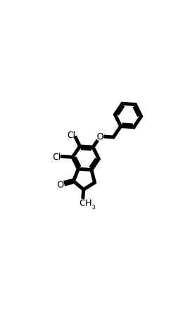 CC1Cc2cc(OCc3ccccc3)c(Cl)c(Cl)c2C1=O